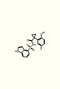 COc1ccc(C)cc1C1(C(=O)NS(=O)(=O)c2cccc3[nH]ccc23)CC1